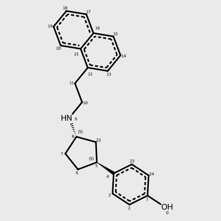 Oc1ccc([C@H]2CC[C@H](NCCc3cccc4ccccc34)C2)cc1